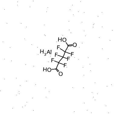 O=C(O)C(F)(F)C(F)(F)C(F)(F)C(=O)O.[AlH3]